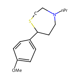 CCCN1CCSC(c2ccc(OC)cc2)CC1